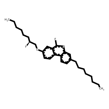 CCCCCCCCc1ccc2c(c1)nc(F)c1cc(OC[C@@H](F)CCCCCC)ccc12